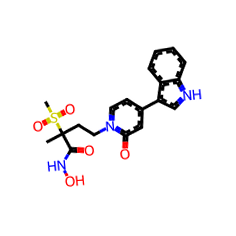 CC(CCn1ccc(-c2c[nH]c3ccccc23)cc1=O)(C(=O)NO)S(C)(=O)=O